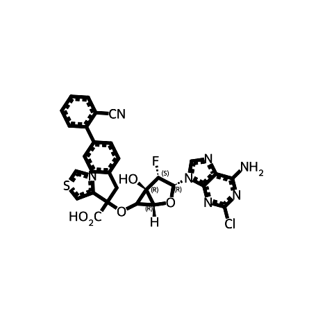 N#Cc1ccccc1-c1ccc(CC(OC2[C@H]3O[C@@H](n4cnc5c(N)nc(Cl)nc54)[C@@H](F)[C@@]23O)(C(=O)O)c2cscn2)cc1